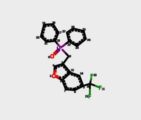 O=P(Cc1coc2ccc(C(F)(F)F)cc12)(c1ccccc1)c1ccccc1